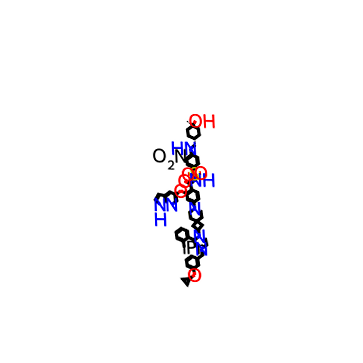 CC(C)c1ccccc1C1CN(Cc2cccc(OC3CC3)c2)CCN1C1CC2(CCN(c3ccc(C(=O)NS(=O)(=O)c4ccc(NC[C@H]5CC[C@](C)(O)CC5)c([N+](=O)[O-])c4)c(Oc4cnc5[nH]ccc5c4)c3)CC2)C1